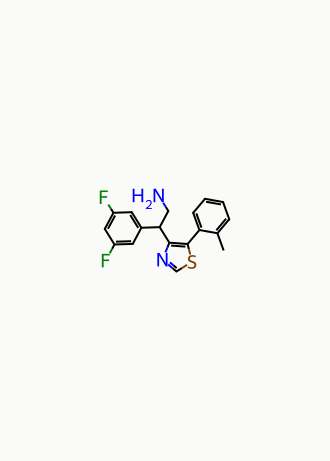 Cc1ccccc1-c1scnc1C(CN)c1cc(F)cc(F)c1